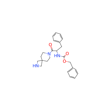 O=C(NC(Cc1ccccc1)C(=O)N1CCC2(CC1)CNC2)OCc1ccccc1